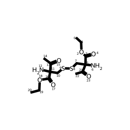 CCOC(=O)C(N)(CSSCC(N)(C(C)=O)C(=O)OCC)C(C)=O